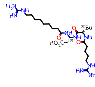 CC[C@@H](C)[C@@H](NC(=O)CCCCNC(=N)N)C(=O)N[C@H](CC(=O)O)NC(=O)CCCCCCCCNC(=N)N